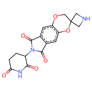 O=C1CCC(N2C(=O)c3cc4c(cc3C2=O)OC2(CNC2)CO4)C(=O)N1